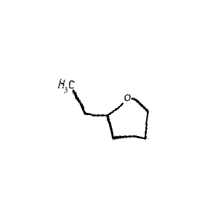 CCC1C[CH]CO1